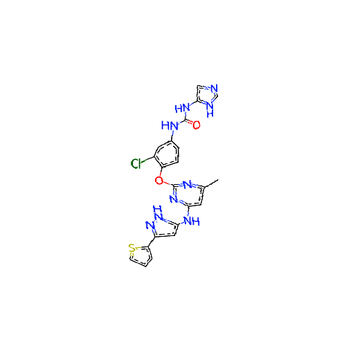 Cc1cc(Nc2cc(-c3cccs3)n[nH]2)nc(Oc2ccc(NC(=O)Nc3cnc[nH]3)cc2Cl)n1